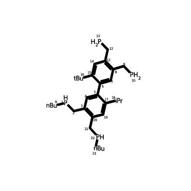 CCCCPCc1cc(-c2cc(CP)c(CP)cc2C(C)(C)C)c(C(C)C)cc1CPCCCC